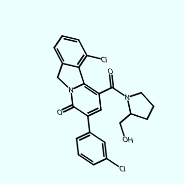 O=C(c1cc(-c2cccc(Cl)c2)c(=O)n2c1-c1c(Cl)cccc1C2)N1CCCC1CO